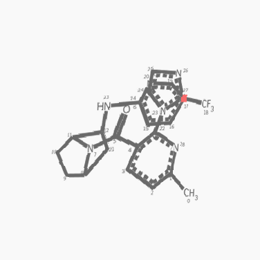 Cc1ccc(C(=O)N2C3CCC2C(Nc2ccc(C(F)(F)F)cn2)C3)c(-n2ccnn2)n1